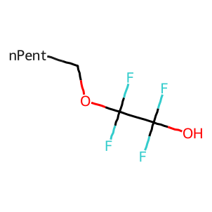 CCCCCCOC(F)(F)C(O)(F)F